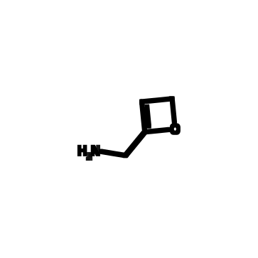 NCC1=CCO1